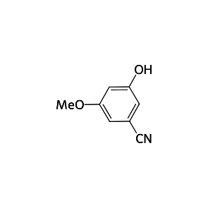 COc1cc(O)cc(C#N)c1